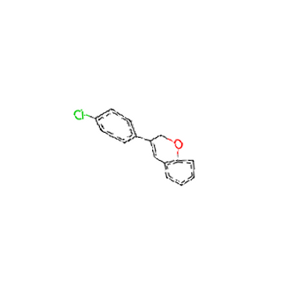 Clc1ccc(C2=Cc3ccccc3OC2)cc1